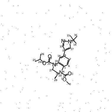 COC(=O)N1c2ccc(-c3cnn(C(C)(C)C)c3)cc2N(C(=O)OC(C)C)C[C@@H]1C